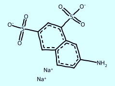 Nc1ccc2cc(S(=O)(=O)[O-])cc(S(=O)(=O)[O-])c2c1.[Na+].[Na+]